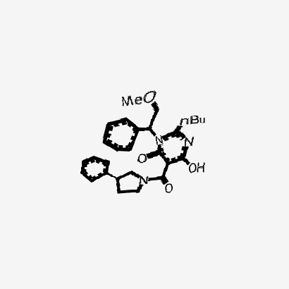 CCCCc1nc(O)c(C(=O)N2CC[C@@H](c3ccccc3)C2)c(=O)n1C(COC)c1ccccc1